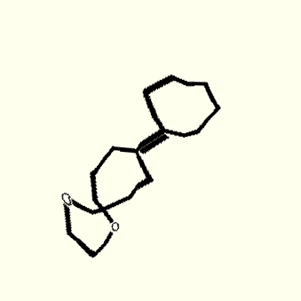 C1CCC(=C2CCC3(CC2)OCCO3)CC1